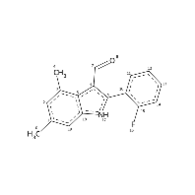 Cc1cc(C)c2c(C=O)c(-c3ccccc3F)[nH]c2c1